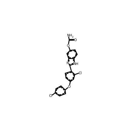 NC(=O)Oc1ccc2[nH]c(-c3ccc(Oc4ccc(Cl)cc4)cc3Cl)nc2c1